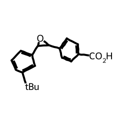 CC(C)(C)c1cccc(C2OC2c2ccc(C(=O)O)cc2)c1